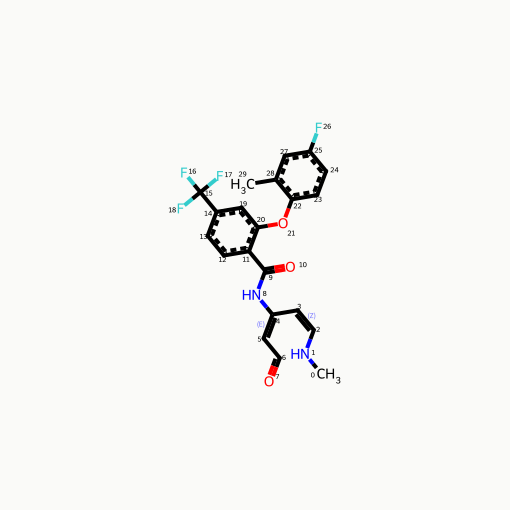 CN/C=C\C(=C/C=O)NC(=O)c1ccc(C(F)(F)F)cc1Oc1ccc(F)cc1C